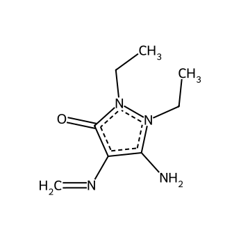 C=Nc1c(N)n(CC)n(CC)c1=O